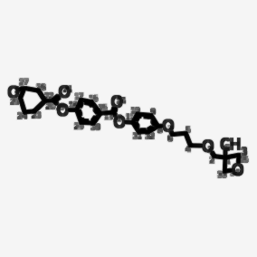 CC1(COCCCOc2ccc(OC(=O)c3ccc(OC(=O)C4CCC5OC5C4)cc3)cc2)COC1